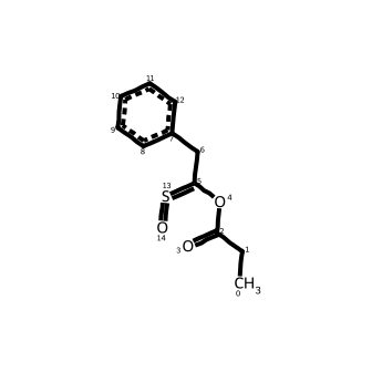 CCC(=O)OC(Cc1ccccc1)=S=O